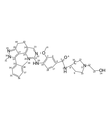 COc1cc(C(=O)NC2CCN(CCO)CC2)ccc1Nc1ncc2c(n1)-c1c(nn(C)c1-c1ccccc1C)CC2